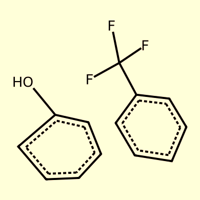 FC(F)(F)c1ccccc1.Oc1ccccc1